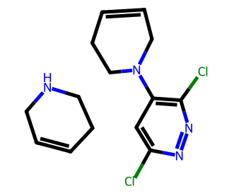 C1=CCNCC1.Clc1cc(N2CC=CCC2)c(Cl)nn1